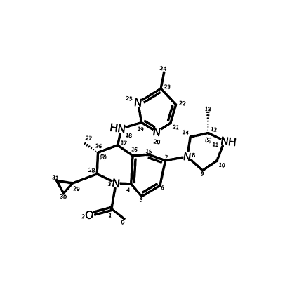 CC(=O)N1c2ccc(N3CCN[C@@H](C)C3)cc2C(Nc2nccc(C)n2)[C@@H](C)C1C1CC1